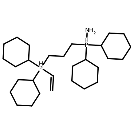 C=C[PH](CCC[PH](N)(C1CCCCC1)C1CCCCC1)(C1CCCCC1)C1CCCCC1